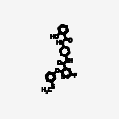 CSc1cccc(Oc2ncc(F)cc2C(=O)NC2CCC(NC(=O)c3ccccc3O)CC2)c1